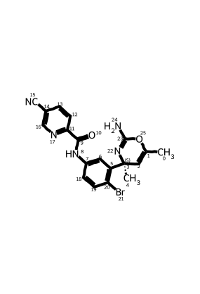 CC1=C[C@@](C)(c2cc(NC(=O)c3ccc(C#N)cn3)ccc2Br)N=C(N)O1